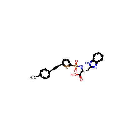 Cc1ccc(C#Cc2ccc(S(=O)(=O)N[C@H](Cc3nc4ccccc4[nH]3)C(=O)O)s2)cc1